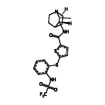 C[C@H]1[C@H](NC(=O)c2ccc(Sc3ccccc3NS(=O)(=O)C(F)(F)F)s2)C2CCN1CC2